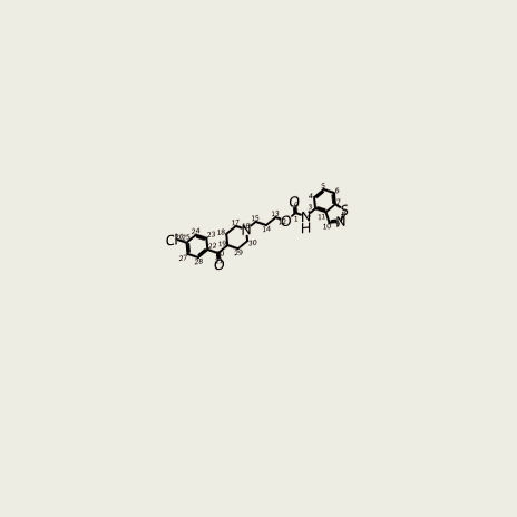 O=C(Nc1cccc2sncc12)OCCCN1CCC(C(=O)c2ccc(Cl)cc2)CC1